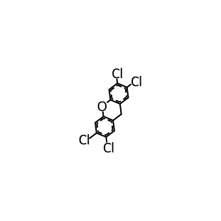 Clc1cc2c(cc1Cl)Oc1cc(Cl)c(Cl)cc1C2